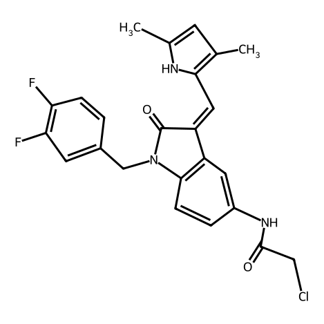 Cc1cc(C)c(/C=C2\C(=O)N(Cc3ccc(F)c(F)c3)c3ccc(NC(=O)CCl)cc32)[nH]1